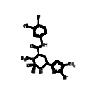 Cc1cc([C@@H]2C[C@H](C(=O)Nc3ccc(F)c(Cl)c3)N(C)S(=O)(=O)N2)sc1Br